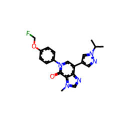 CC(C)n1cc(-c2cn(-c3ccc(OCF)cc3)c(=O)c3c2ncn3C)cn1